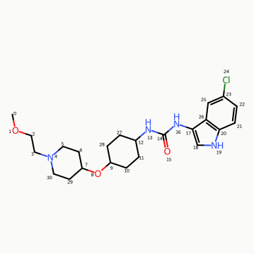 COCCN1CCC(OC2CCC(NC(=O)Nc3c[nH]c4ccc(Cl)cc34)CC2)CC1